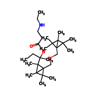 CCNCCC(=O)OC(C)(CC)C1(C)C2(C)C(C)(C)C12COCC12C(C)(C)C1(C)C2(C)C